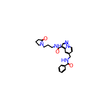 O=C(NCc1ccn2ncc(C(=O)NCCCN3CCCC3=O)c2c1)c1ccccc1